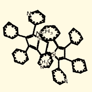 C[Si]1(CC[Si]2(C)C(c3cccnc3)=C(c3ccccc3)C(c3ccccc3)=C2c2cccnc2)C(c2cccnc2)=C(c2ccccc2)C(c2ccccc2)=C1c1cccnc1